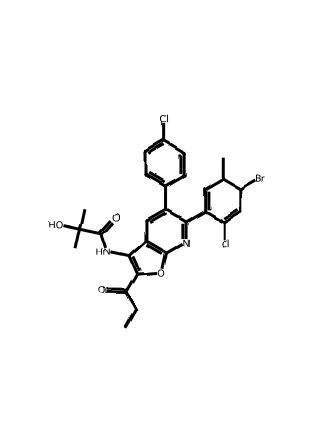 CCC(=O)c1oc2nc(C3=CC(C)C(Br)C=C3Cl)c(-c3ccc(Cl)cc3)cc2c1NC(=O)C(C)(C)O